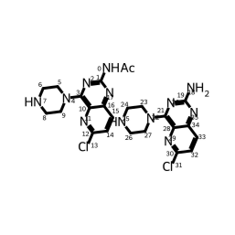 CC(=O)Nc1nc(N2CCNCC2)c2nc(Cl)ccc2n1.Nc1nc(N2CCNCC2)c2nc(Cl)ccc2n1